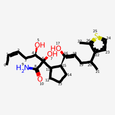 C/C=C\C[C@@H](O)C(O)(C(N)=O)C1CCC[C@@H]1/C(O)=C\CC(C)c1ccsc1C